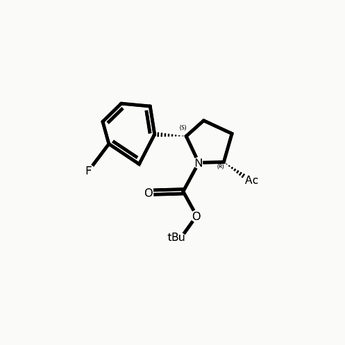 CC(=O)[C@H]1CC[C@@H](c2cccc(F)c2)N1C(=O)OC(C)(C)C